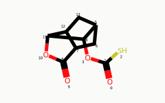 O=C(S)OC1C2CC3C(=O)OC1C3C2